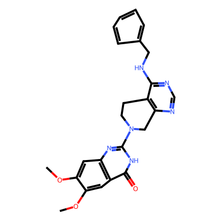 COc1cc2nc(N3CCc4c(ncnc4NCc4ccccc4)C3)[nH]c(=O)c2cc1OC